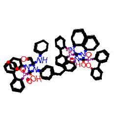 O=CC1(NC2CCCCC2)N(c2ccc(Cc3ccc(N4C(O)(P5(=O)Oc6ccccc6-c6ccccc65)N5C6CCCC7=C6C(CCC7)NC45P4(=O)Oc5ccccc5-c5ccccc54)cc3)cc2)C(O)(P2(=O)Oc3ccccc3-c3ccccc32)N1C1CCCCC1